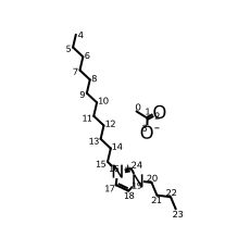 CC(=O)[O-].CCCCCCCCCCCC[n+]1ccn(CCCC)c1